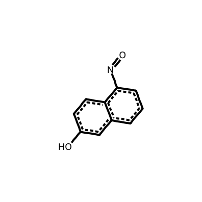 O=Nc1cccc2cc(O)ccc12